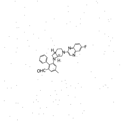 Cc1cc(C=O)c(-c2ccccc2)c(N2C[C@H]3CCN(c4cnc5cc(F)ccc5n4)C[C@H]32)c1